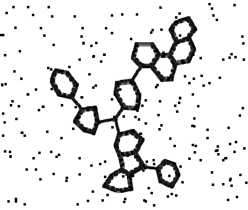 c1ccc(-c2cccc(N(c3ccc(-c4cccc5c4ccc4ccc6ccccc6c45)cc3)c3ccc4c(c3)c3ccccc3n4-c3ccccc3)c2)cc1